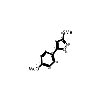 COc1ccc(-c2cc(SC)no2)cc1